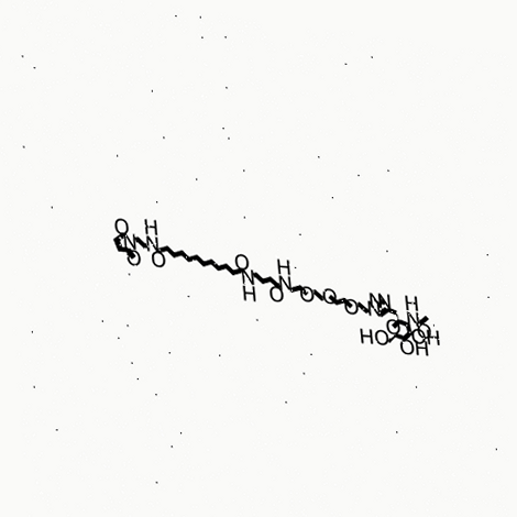 CC(=O)N[C@@H]1[C@@H](O)[C@@H](O)[C@@H](CO)O[C@@H]1Cc1cn(CCOCCOCCOCCNC(=O)CCCNC(=O)CCCCCCCCCCC(=O)NCCN2C(=O)C=CC2=O)nn1